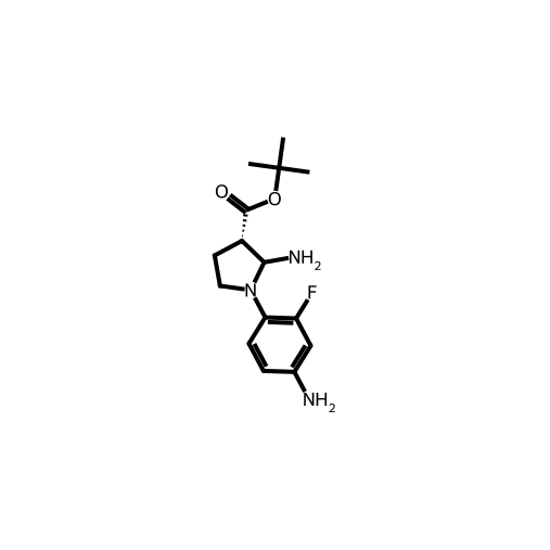 CC(C)(C)OC(=O)[C@H]1CCN(c2ccc(N)cc2F)C1N